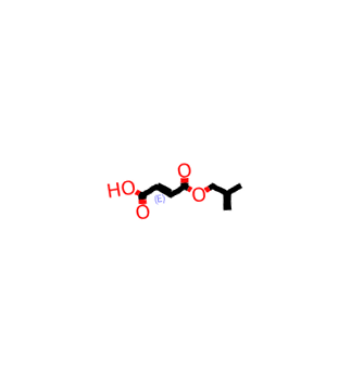 C=C(C)COC(=O)/C=C/C(=O)O